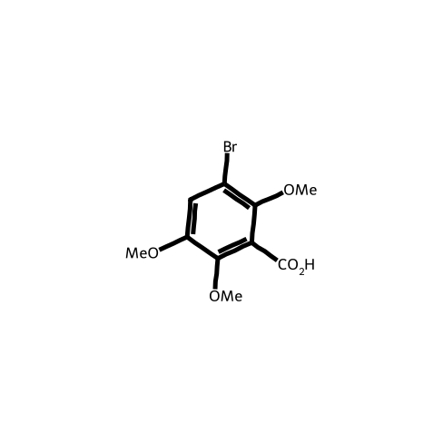 COc1cc(Br)c(OC)c(C(=O)O)c1OC